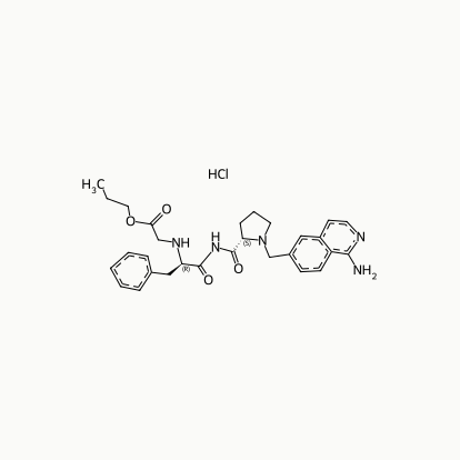 CCCOC(=O)CN[C@H](Cc1ccccc1)C(=O)NC(=O)[C@@H]1CCCN1Cc1ccc2c(N)nccc2c1.Cl